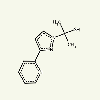 CC(C)(S)n1ccc(-c2ccccn2)n1